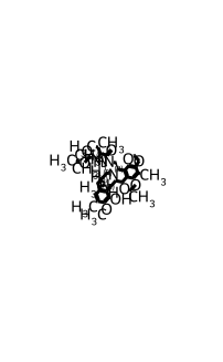 COc1c(C)cc2c(c1O)[C@@H]1C3Cc4c(OC(C)=O)c(C)c5c(c4[C@H](CNC(=O)[C@@H](NC(=O)OC(C)(C)C)C(C)C)N3[C@@H](C#N)[C@H](C2)N1C)OCO5